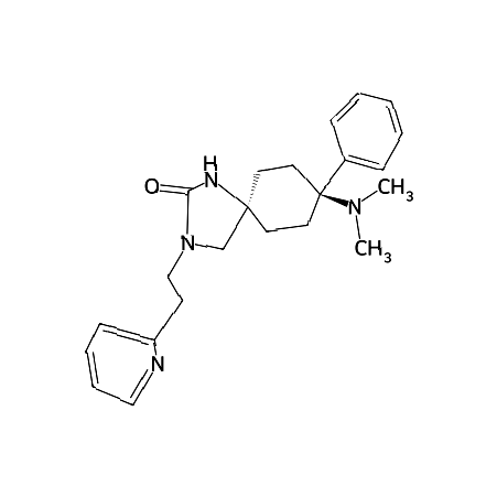 CN(C)[C@]1(c2ccccc2)CC[C@]2(CC1)CN(CCc1ccccn1)C(=O)N2